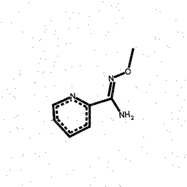 CON=C(N)c1cc[c]cn1